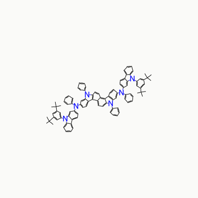 CC(C)(C)c1cc(-n2c3ccccc3c3ccc(N(c4ccccc4)c4ccc5c6c7ccc8c(c7ccc6n(-c6ccccc6)c5c4)c4ccc(N(c5ccccc5)c5ccc6c7ccccc7n(-c7cc(C(C)(C)C)cc(C(C)(C)C)c7)c6c5)cc4n8-c4ccccc4)cc32)cc(C(C)(C)C)c1